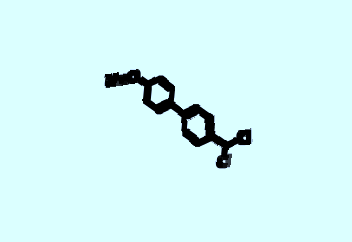 COc1ccc(-c2ccc(C(Cl)Cl)cc2)cc1